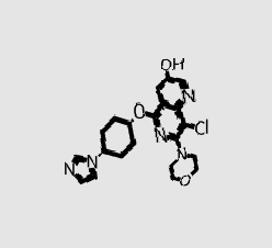 Oc1cnc2c(Cl)c(N3CCOCC3)nc(O[C@H]3CC[C@@H](n4ccnc4)CC3)c2c1